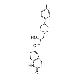 Cc1ccc(N2CCN(CC(O)COc3ccc4[nH]c(=O)ccc4c3)CC2)cc1